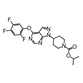 CC(C)OC(=O)N1CCC(n2ncc3c(Oc4cc(F)c(F)cc4F)ncnc32)CC1